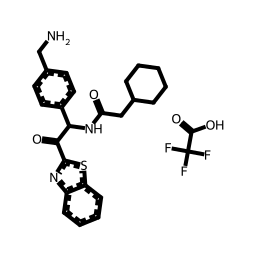 NCc1ccc(C(NC(=O)CC2CCCCC2)C(=O)c2nc3ccccc3s2)cc1.O=C(O)C(F)(F)F